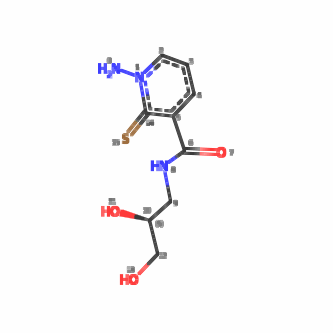 Nn1cccc(C(=O)NC[C@H](O)CO)c1=S